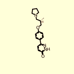 C[C@H](COc1ccc(-c2ccc(=O)[nH]n2)cc1)CN1CCCC1